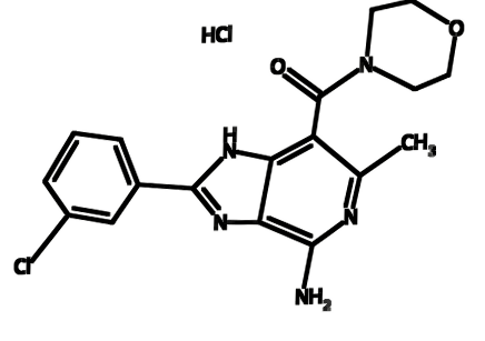 Cc1nc(N)c2nc(-c3cccc(Cl)c3)[nH]c2c1C(=O)N1CCOCC1.Cl